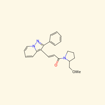 COCC1CCCN1C(=O)C=Cc1c(-c2ccccc2)nn2ccccc12